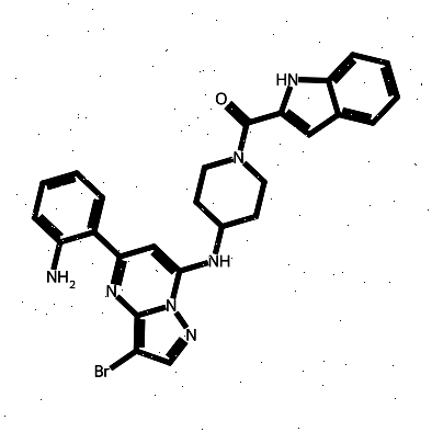 Nc1ccccc1-c1cc(NC2CCN(C(=O)c3cc4ccccc4[nH]3)CC2)n2ncc(Br)c2n1